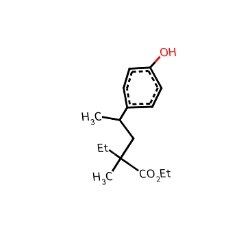 CCOC(=O)C(C)(CC)CC(C)c1ccc(O)cc1